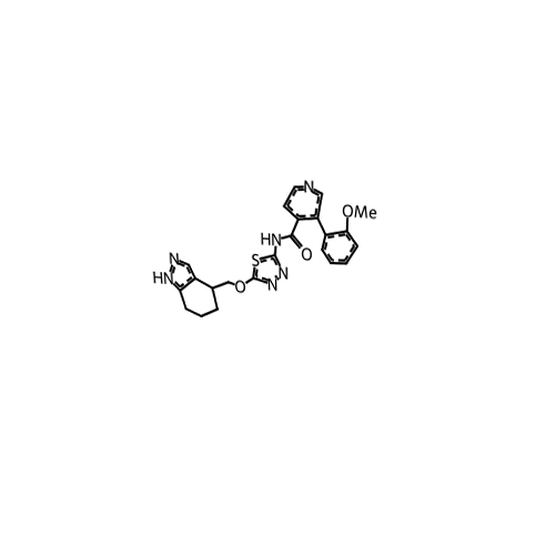 COc1ccccc1-c1cnccc1C(=O)Nc1nnc(OCC2CCCc3[nH]ncc32)s1